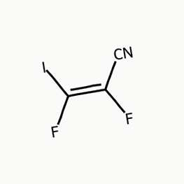 N#CC(F)=C(F)I